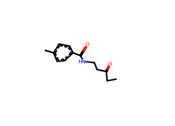 CCC(=O)CCNC(=O)c1ccc(C)cc1